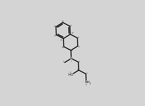 CN(CC(O)CN)C1CCc2ccccc2C1